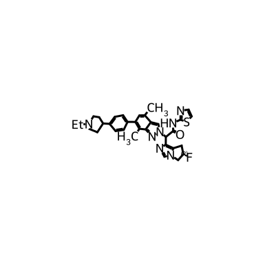 CCN1CCC(c2ccc(-c3cc(C)c4cn(C(C(=O)Nc5nccs5)c5ncn6c5C[C@@H](F)C6)nc4c3C)cc2)CC1